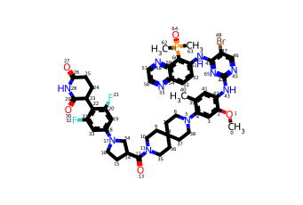 COc1cc(N2CCC3(CCN(C(=O)C4CCN(c5cc(F)c(C6CCC(=O)NC6=O)c(F)c5)C4)CC3)CC2)c(C)cc1Nc1ncc(Br)c(Nc2ccc3nccnc3c2P(C)(C)=O)n1